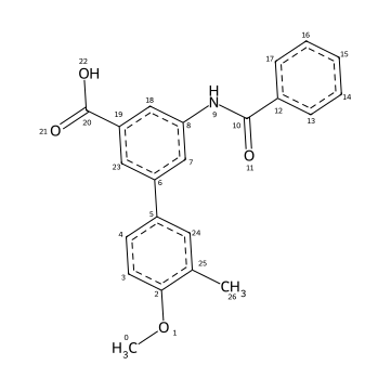 COc1ccc(-c2cc(NC(=O)c3ccccc3)cc(C(=O)O)c2)cc1C